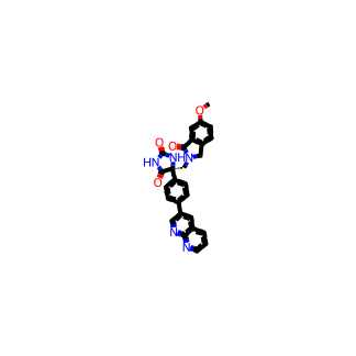 COc1ccc2c(c1)C(=O)N(C[C@@]1(c3ccc(-c4cnc5ncccc5c4)cc3)NC(=O)NC1=O)C2